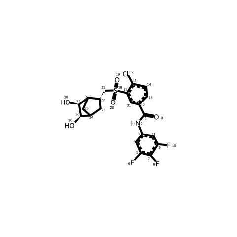 O=C(Nc1cc(F)c(F)c(F)c1)c1ccc(Cl)c(S(=O)(=O)C[C@@H]2CC3CC2[C@H](O)[C@@H]3O)c1